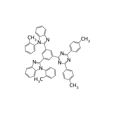 Cc1ccc(-c2nc(-c3ccc(C)cc3)nc(-c3cc(-c4nc5ccccc5n4-c4ccccc4C)cc(-c4nc5ccccc5n4-c4ccccc4C)c3)n2)cc1